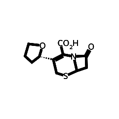 O=C(O)C1=C([C@@H]2CCCO2)CSC2CC(=O)N12